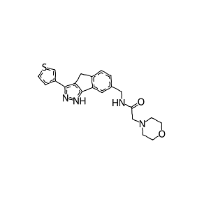 O=C(CN1CCOCC1)NCc1ccc2c(c1)-c1[nH]nc(-c3ccsc3)c1C2